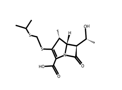 CC(C)SCSC1=C(C(=O)O)N2C(=O)[C@H]([C@@H](C)O)[C@H]2[C@H]1C